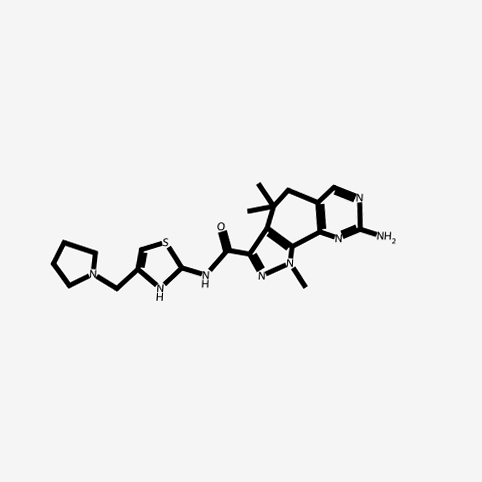 Cn1nc(C(=O)NC2NC(CN3CCCC3)=CS2)c2c1-c1nc(N)ncc1CC2(C)C